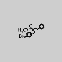 CCOC(=O)C(CCc1ccccc1)Oc1ccc(CBr)cc1